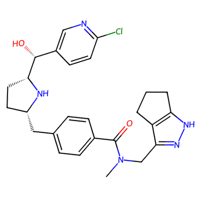 CN(Cc1n[nH]c2c1CCC2)C(=O)c1ccc(C[C@@H]2CC[C@H]([C@H](O)c3ccc(Cl)nc3)N2)cc1